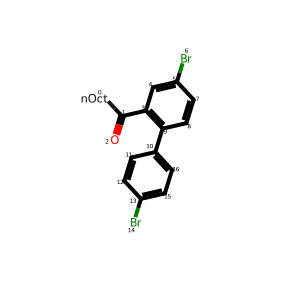 CCCCCCCCC(=O)c1cc(Br)ccc1-c1ccc(Br)cc1